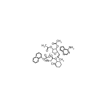 C/N=C/[C@@]1(c2ccc3c(N)ncnn23)O[C@H](COP(=O)(N[C@@H](C)C(=O)OC2CCCCC2)Oc2cccc3ccccc23)[C@@H](OC(C)=O)[C@H]1OC(C)=O